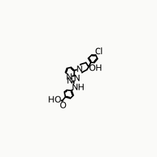 O=C(O)c1ccc(Nc2nc3c(N4CCC(O)(c5ccc(Cl)cc5)CC4)cccn3n2)cc1